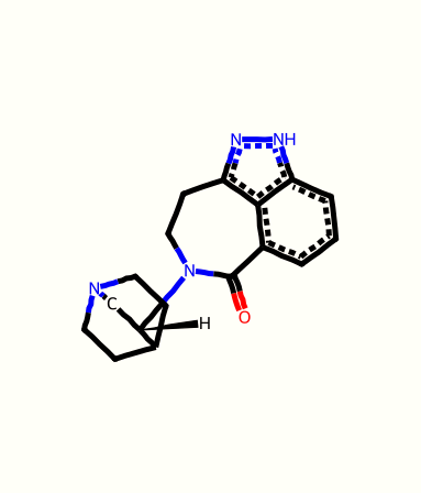 O=C1c2cccc3[nH]nc(c23)CCN1[C@H]1CN2CCC1CC2